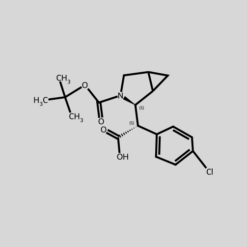 CC(C)(C)OC(=O)N1CC2CC2[C@H]1[C@@H](C(=O)O)c1ccc(Cl)cc1